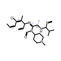 C=CC(/N=C(/[C@H](C)NC(N=C)C(C)C)N(C=O)C1CCN(C)CC1)/C(C)=C(Cl)\C=C/C